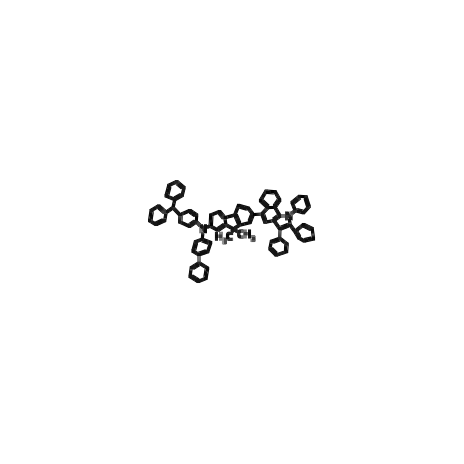 CC1(C)c2cc(-c3cc4c(-c5ccccc5)c(-c5ccccc5)n(-c5ccccc5)c4c4ccccc34)ccc2-c2ccc(N(c3ccc(-c4ccccc4)cc3)c3ccc(C(c4ccccc4)c4ccccc4)cc3)cc21